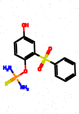 NP(N)(=S)Oc1ccc(O)cc1S(=O)(=O)c1ccccc1